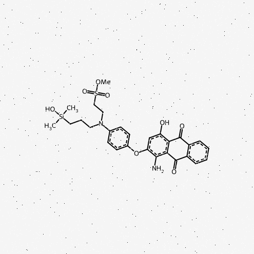 COS(=O)(=O)CCN(CCC[Si](C)(C)O)c1ccc(Oc2cc(O)c3c(c2N)C(=O)c2ccccc2C3=O)cc1